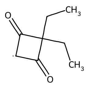 CCC1(CC)C(=O)[CH]C1=O